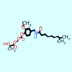 COc1cc(CNC(=O)CCCCCCC(C)C)ccc1OC(=O)OCOC(=O)C(C)O